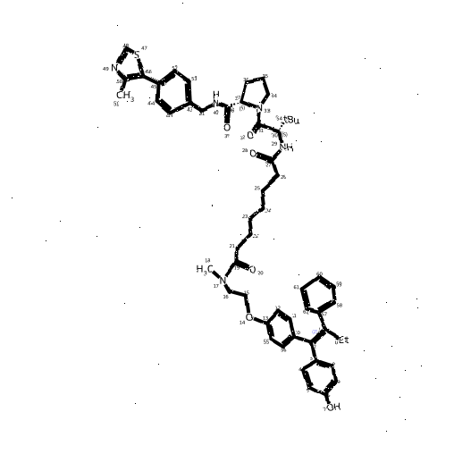 CC/C(=C(\c1ccc(O)cc1)c1ccc(OCCN(C)C(=O)CCCCCCC(=O)N[C@H](C(=O)N2CCC[C@H]2C(=O)NCc2ccc(-c3scnc3C)cc2)C(C)(C)C)cc1)c1ccccc1